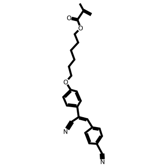 C=C(C)C(=O)OCCCCCCOc1ccc(/C(C#N)=C/c2ccc(C#N)cc2)cc1